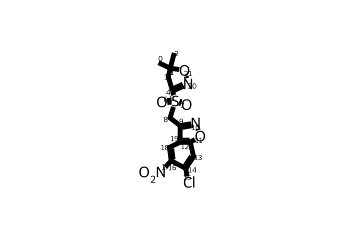 CC1(C)CC(S(=O)(=O)Cc2noc3cc(Cl)c([N+](=O)[O-])cc23)=NO1